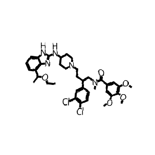 CCOC(C)c1cccc2[nH]c(NC3CCN(CCC(CN(C)C(=O)c4cc(OC)c(OC)c(OC)c4)c4ccc(Cl)c(Cl)c4)CC3)nc12